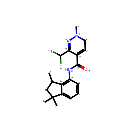 CC1CC(C)(C)c2cccc(NC(=O)C3=CCN(C)N=C3C(F)F)c21